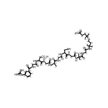 CC(C)CC(NC(=O)CNC(=O)C(C)NC(=O)CNC(=O)C(CC(=O)O)NC(=O)CNC(=O)c1cccc(NC(=N)N)c1)C(=O)NCC(=O)NC(C)(C)C(=O)NCC(=O)NC(C)(C)CCOC(C)(C)CCC(=O)C(C)C